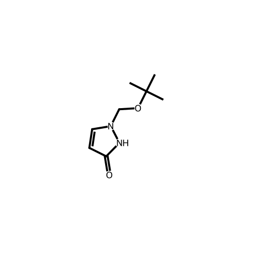 CC(C)(C)OCn1ccc(=O)[nH]1